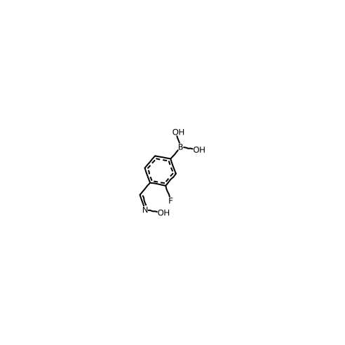 O/N=C\c1ccc(B(O)O)cc1F